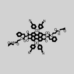 N#Cc1ccc(Oc2cc3c4c(cc(Oc5ccc(C#N)cc5)c5c6c(Oc7ccc(C#N)cc7)cc7c8c(cc(Oc9ccc(C#N)cc9)c(c2c45)c86)C(=O)N(C(Cc2ccccc2)C(=O)OCCC(=O)NCC2CO2)C7=O)C(=O)N(C(Cc2ccccc2)C(=O)OCCC(=O)NCC2CO2)C3=O)cc1